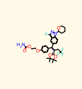 CC1(C)OB(/C(CC(F)(F)F)=C(\c2ccc(OCCOC(N)=O)cc2)c2ccc3c(c2)c(F)nn3C2CCCCO2)OC1(C)C